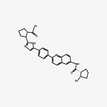 CC(=O)N1CCC[C@H]1C(=O)Nc1ccc2nc(-c3ccc(-c4cnc(C5CCCN5C(=O)C(C)C)[nH]4)cc3)ccc2c1